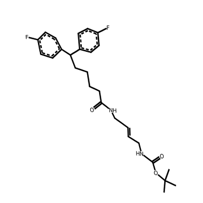 CC(C)(C)OC(=O)NCC=CCNC(=O)CCCCC(c1ccc(F)cc1)c1ccc(F)cc1